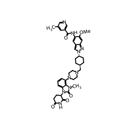 COc1cc2nn([C@H]3CC[C@H](CN4CCN(c5cccc6c5n(C)c(=O)n6C5CCC(=O)NC5=O)CC4)CC3)cc2cc1NC(=O)c1cncc(C)c1